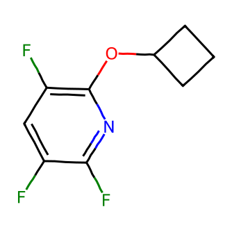 Fc1cc(F)c(OC2CCC2)nc1F